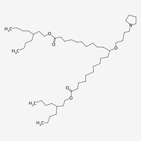 CCCCC(CCCC)CCOC(=O)CCCCCCCCCC(CCCCCCCCCC(=O)OCCC(CCCC)CCCC)OCCCCN1CCCC1